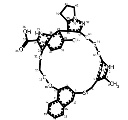 Cc1[nH]c2nc1CSc1cc(c3ccccc3c1)OCCCc1c(C(=O)O)[nH]c3c(c(Cl)ccc13)-c1c(nn3c1CCC3)CSC2